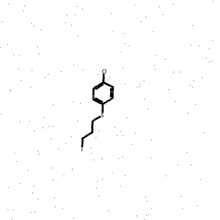 Clc1ccc(SCCCI)cc1